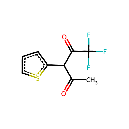 CC(=O)C(C(=O)C(F)(F)F)c1cccs1